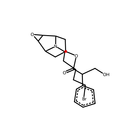 O=C(OC1CC2C3OC3C(C1)N2CCCCCBr)C(CO)c1ccccc1